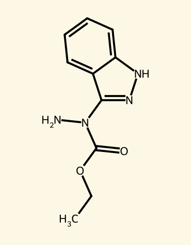 CCOC(=O)N(N)c1n[nH]c2ccccc12